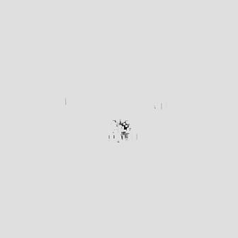 CCCCCCCCCCCCCCCCCCCCC(=O)OCC(COP(=O)(O)OCC[N+](C)(C)C)OC(=O)CCCCCCCCCCCCCCCCC